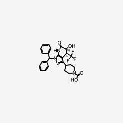 O=C1Nc2c(c(C3CCN(C(=O)O)CC3)nn2C(c2ccccc2)c2ccccc2)[C@H](C(F)(F)F)[C@@H]1O